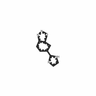 c1c[nH]c(-c2ccc3nnsc3c2)n1